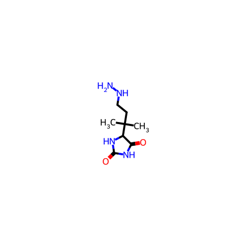 CC(C)(CCNN)C1NC(=O)NC1=O